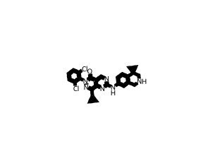 O=c1c2cnc(Nc3ccc4c(c3)CNCC43CC3)nc2c(C2CC2)nn1-c1c(Cl)cccc1Cl